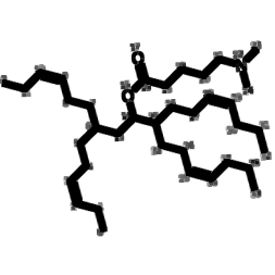 CC/C=C\CCC(CC/C=C\CC)CC(OC(=O)CCCCN(C)C)C(CC/C=C\CCC)CC/C=C\CCC